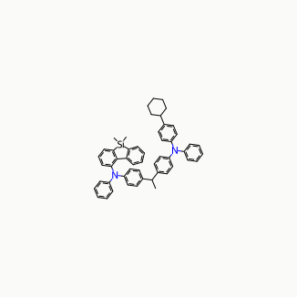 CC(c1ccc(N(c2ccccc2)c2ccc(C3CCCCC3)cc2)cc1)c1ccc(N(c2ccccc2)c2cccc3c2-c2ccccc2[Si]3(C)C)cc1